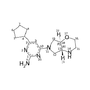 Nc1nc(C2CCCC2)cc(N2C[C@H]3NCCO[C@@H]3C2)n1